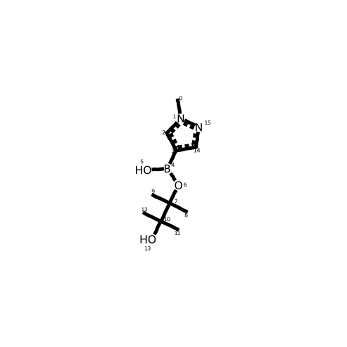 Cn1cc(B(O)OC(C)(C)C(C)(C)O)cn1